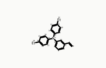 C=Cc1cccc(N(c2ccc(CC)cc2)c2ccc(CC)cc2)c1